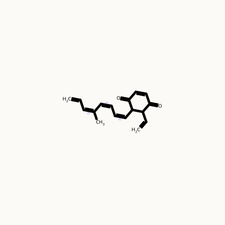 C=C\C=C(C)/C=C\C=C/C1C(=O)C=CC(=O)C1C=C